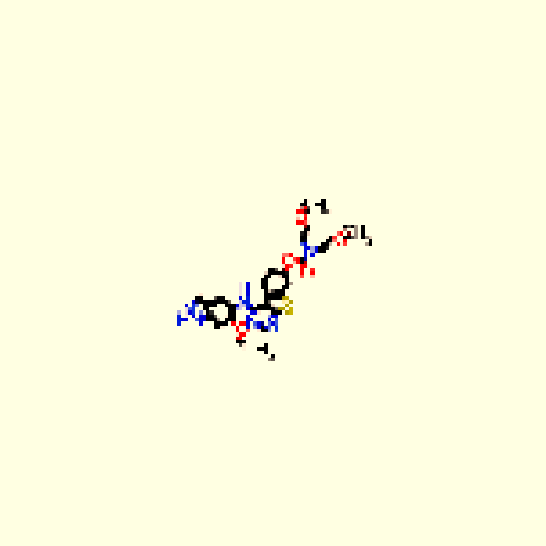 CCOc1cc2[nH]ncc2cc1Nc1ncnc2sc3c(c12)CCC(OC(=O)N(CCOC)CCOC)C3